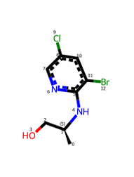 C[C@@H](CO)Nc1ncc(Cl)cc1Br